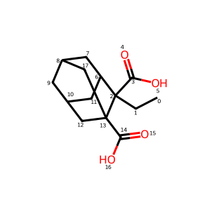 CCC1(C(=O)O)C2CC3CC(C2)CC1(C(=O)O)C3